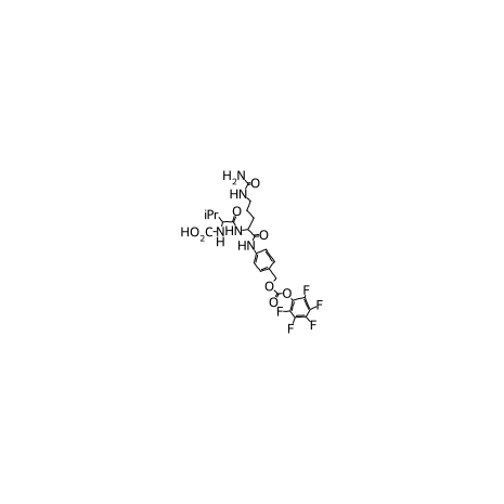 CC(C)C(NC(=O)O)C(=O)NC(CCCNC(N)=O)C(=O)Nc1ccc(COC(=O)Oc2c(F)c(F)c(F)c(F)c2F)cc1